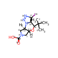 CC(C)(C)C1O[C@@H]2CN(C(=O)O)C[C@H]2n2nnc(I)c21